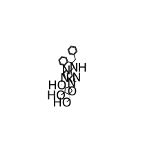 OC[C@H]1O[C@@H](n2cnc3c(NC(Cc4ccccc4)c4ccccc4)ncnc32)[C@@H](O)C1O